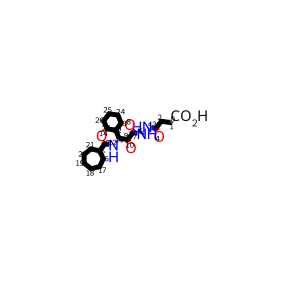 O=C(O)CCC(=O)NNC(=O)C(=O)C(NC(=O)C1CCCCCC1)C1CCCCC1